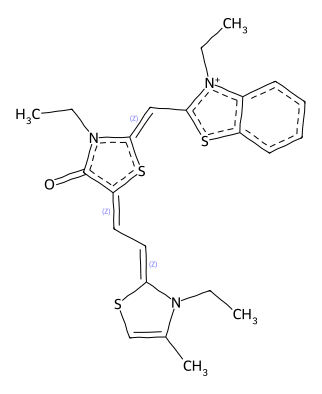 CCN1C(C)=CS/C1=C\C=c1/s/c(=C\c2sc3ccccc3[n+]2CC)n(CC)c1=O